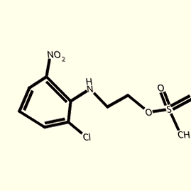 CS(=O)(=O)OCCNc1c(Cl)cccc1[N+](=O)[O-]